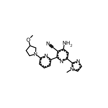 COC1CCN(c2cccc(-c3nc(-c4nccn4C)cc(N)c3C#N)n2)C1